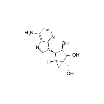 Nc1ccnc2c1ncn2[C@@H]1[C@H]2C[C@]2(CO)C(O)[C@@H]1O